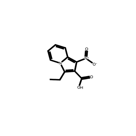 CCc1c(C(=O)O)c([N+](=O)[O-])c2ccccn12